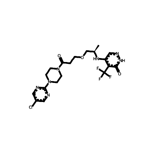 C[C@H](COCCC(=O)N1CCN(c2ncc(Cl)cn2)CC1)Nc1cn[nH]c(=O)c1C(F)(F)F